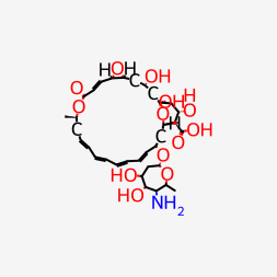 CC1O[C@@H](O[C@H]2/C=C/C=C/C=C/C=C/C[C@@H](C)OC(=O)/C=C/[C@H]3O[C@@H]3C[C@H](O)C[C@]3(O)C[C@H](O)[C@@H](C(=O)O)[C@H](C2)O3)CC(O)C(O)[C@@H]1N